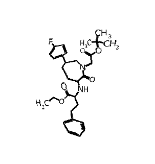 CCOC(=O)C(CCc1ccccc1)NC1CCC(c2ccc(F)cc2)CN(CC(=O)OC(C)(C)C)C1=O